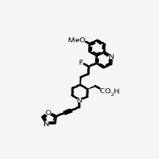 COc1ccc2nccc(C(F)CC[C@@H]3CCN(CC#Cc4cnco4)C[C@@H]3CC(=O)O)c2c1